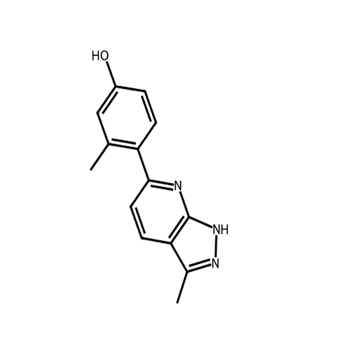 Cc1cc(O)ccc1-c1ccc2c(C)n[nH]c2n1